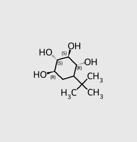 CC(C)(C)C1C[C@@H](O)[C@H](O)[C@@H](O)[C@@H]1O